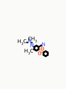 CCN(C)/C=N/c1cc(C#N)c(S(=O)(=O)c2ccccc2)cc1C